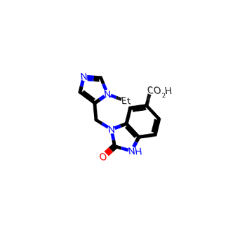 CCn1cncc1Cn1c(=O)[nH]c2ccc(C(=O)O)cc21